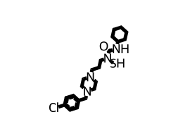 O=C(NC1CCCCC1)N(S)CCCN1CCN(Cc2ccc(Cl)cc2)CC1